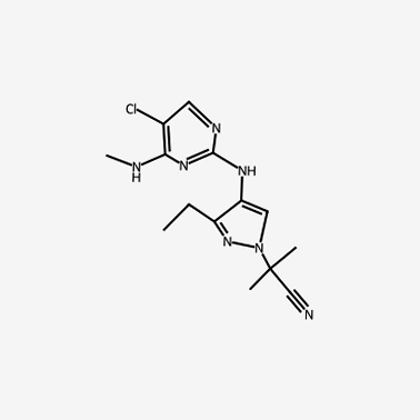 CCc1nn(C(C)(C)C#N)cc1Nc1ncc(Cl)c(NC)n1